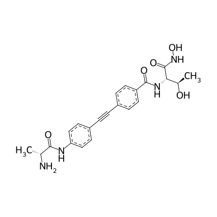 C[C@@H](N)C(=O)Nc1ccc(C#Cc2ccc(C(=O)N[C@H](C(=O)NO)[C@@H](C)O)cc2)cc1